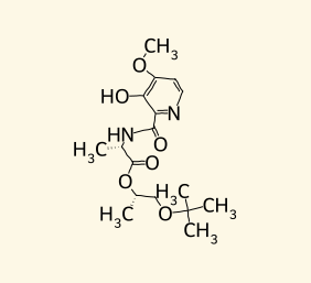 COc1ccnc(C(=O)N[C@@H](C)C(=O)O[C@@H](C)COC(C)(C)C)c1O